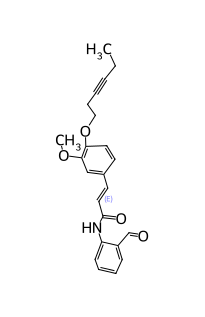 CCC#CCCOc1ccc(/C=C/C(=O)Nc2ccccc2C=O)cc1OC